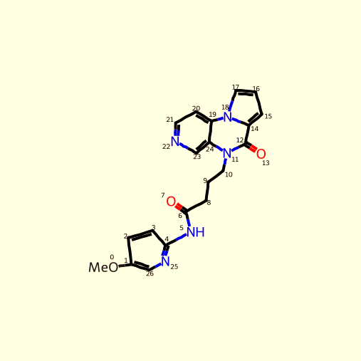 COc1ccc(NC(=O)CCCn2c(=O)c3cccn3c3ccncc32)nc1